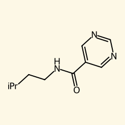 CC(C)CCNC(=O)c1cncnc1